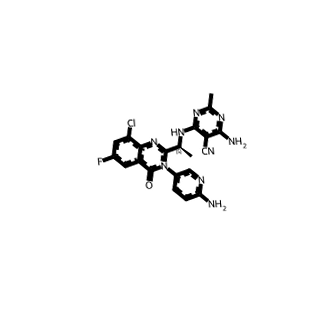 Cc1nc(N)c(C#N)c(N[C@@H](C)c2nc3c(Cl)cc(F)cc3c(=O)n2-c2ccc(N)nc2)n1